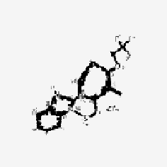 Cc1c(OCC(F)(F)F)cc[n+]2c1CSn1c-2nc2ccccc21.[Cl-]